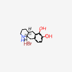 Br.Oc1ccc2c(c1O)C[C@@H]1CCCN[C@H]1C2